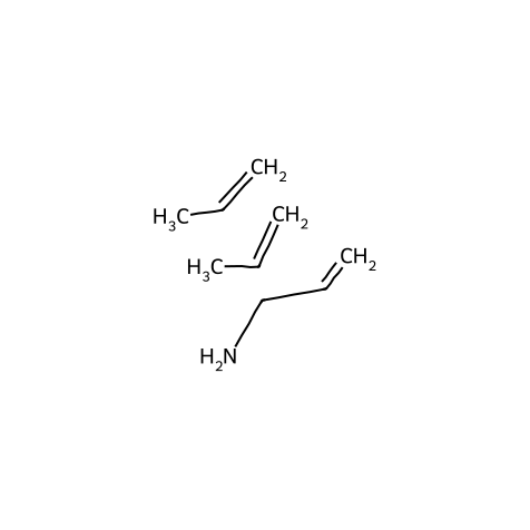 C=CC.C=CC.C=CCN